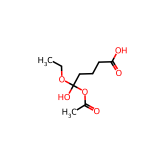 CCOC(O)(CCCC(=O)O)OC(C)=O